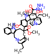 CCC1=C[C@@H]2CN(C1)Cc1c([nH]c3ccccc13)CC(C(=O)OC)(c1cc3c(cc1OC)N(C)[C@H]1[C@@](O)(C(=O)NN)[C@H](O)[C@]4(CC)C=CCN5CC[C@]31[C@@H]54)C2